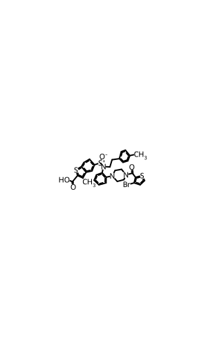 Cc1ccc(CCN(c2ccccc2N2CCN(C(=O)c3sccc3Br)CC2)[S+]([O-])c2ccc3sc(C(=O)O)c(C)c3c2)cc1